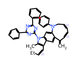 C=C1/C=C\C=C/CN(c2ccccc2)c2cc3c(cc21)c(/C=C\CC)c(C)n3-c1nc(-c2ccccc2)nc(-c2ccccc2)n1